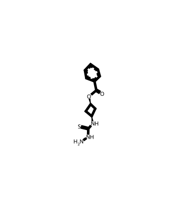 NNC(=S)N[C@H]1C[C@@H](OC(=O)c2ccccc2)C1